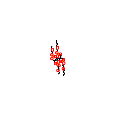 CCCCOCCOP1OCC2(CO1)COP(OCCOCCCC)OC2C1OP(OCCOCC)OCC12COP(OCCOCC)OC2